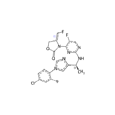 C[C@H](Nc1ncc(F)c(N2C(=O)OC/C2=C/F)n1)c1cn(-c2ccc(Cl)cc2F)cn1